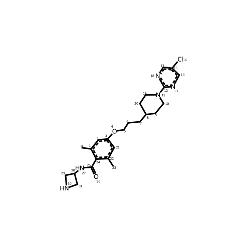 Cc1cc(OCCCC2CCN(c3ncc(Cl)cn3)CC2)cc(C)c1C(=O)NC1CNC1